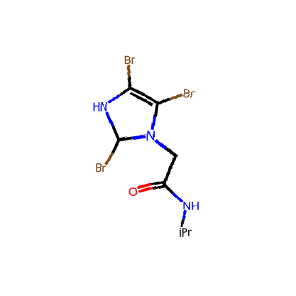 CC(C)NC(=O)CN1C(Br)=C(Br)NC1Br